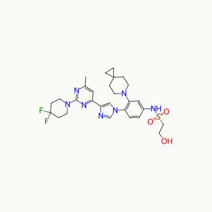 Cc1cc(-c2cn(-c3ccc(NS(=O)(=O)CCO)cc3N3CCC4(CC3)CC4)cn2)nc(N2CCC(F)(F)CC2)n1